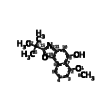 COc1cccc2c1c(O)cc1nc(C(C)(C)C)oc12